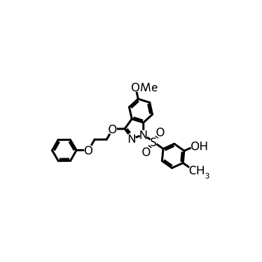 COc1ccc2c(c1)c(OCCOc1ccccc1)nn2S(=O)(=O)c1ccc(C)c(O)c1